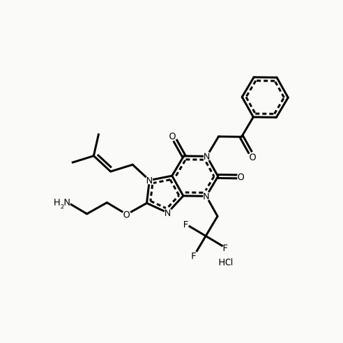 CC(C)=CCn1c(OCCN)nc2c1c(=O)n(CC(=O)c1ccccc1)c(=O)n2CC(F)(F)F.Cl